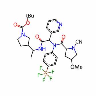 COC1CC(C(=O)N(c2ccc(S(F)(F)(F)(F)F)cc2)C(C(=O)NC(C)C2CCN(C(=O)OC(C)(C)C)C2)c2cccnc2)N(C#N)C1